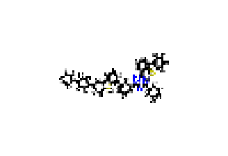 c1ccc(-c2ccc(-c3ccc4sc5c(-c6cccc(-c7nc(-c8ccccc8)nc(-c8cccc9c8sc8ccccc89)n7)c6)cccc5c4c3)cc2)cc1